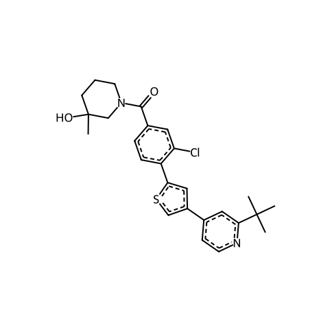 CC1(O)CCCN(C(=O)c2ccc(-c3cc(-c4ccnc(C(C)(C)C)c4)cs3)c(Cl)c2)C1